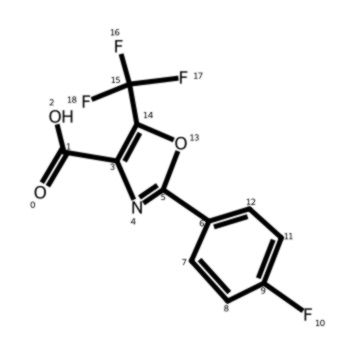 O=C(O)c1nc(-c2ccc(F)cc2)oc1C(F)(F)F